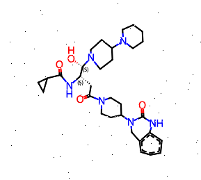 O=C(N[C@@H](CC(=O)N1CCC(N2Cc3ccccc3NC2=O)CC1)[C@H](O)N1CCC(N2CCCCC2)CC1)C1CC1